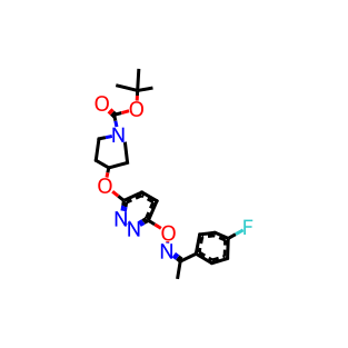 C/C(=N/Oc1ccc(OC2CCN(C(=O)OC(C)(C)C)CC2)nn1)c1ccc(F)cc1